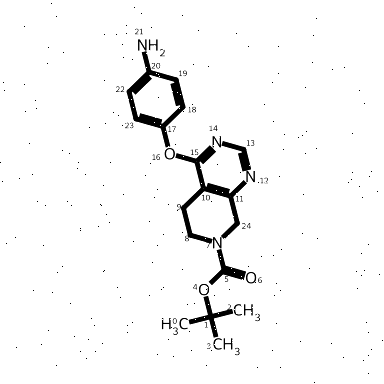 CC(C)(C)OC(=O)N1CCc2c(ncnc2Oc2ccc(N)cc2)C1